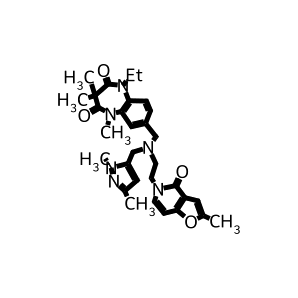 CCN1C(=O)C(C)(C)C(=O)N(C)c2cc(CN(CCn3ccc4oc(C)cc4c3=O)Cc3cc(C)nn3C)ccc21